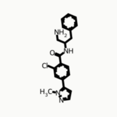 Cn1nccc1-c1ccc(C(=O)NC(CN)Cc2ccccc2)c(Cl)c1